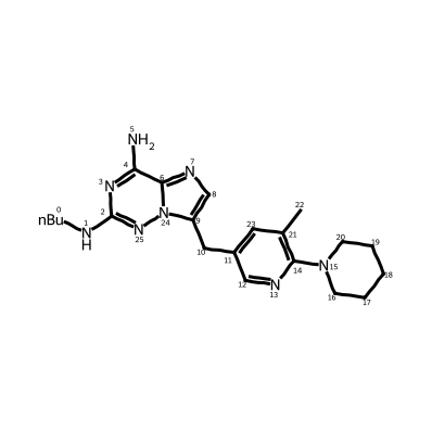 CCCCNc1nc(N)c2ncc(Cc3cnc(N4CCCCC4)c(C)c3)n2n1